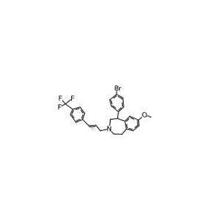 COc1ccc2c(c1)C(c1ccc(Br)cc1)CN(C/C=C/c1ccc(C(F)(F)F)cc1)CC2